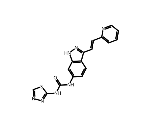 O=C(Nc1ccc2c(/C=C/c3ccccn3)n[nH]c2c1)Nc1nncs1